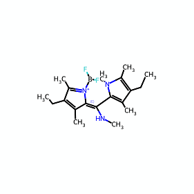 CCC1=C(C)/C(=C(\NC)c2c(C)c(CC)c(C)n2C)[N+](B(F)F)=C1C